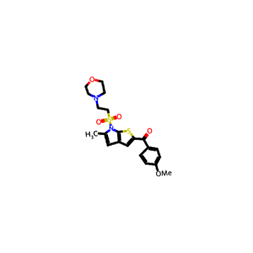 COc1ccc(C(=O)c2cc3cc(C)n(S(=O)(=O)CCN4CCOCC4)c3s2)cc1